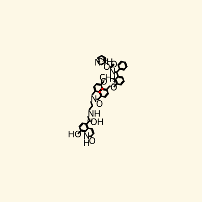 COc1ccc(CN(CCCNC[C@@H](O)c2ccc(O)c3[nH]c(=O)ccc23)C(=O)c2ccc(COc3cccc(C(NC(=O)O[C@H]4CN5CCC4CC5)c4ccccc4)c3)cc2)cc1